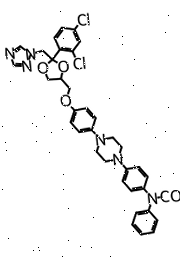 O=C(O)N(c1ccccc1)c1ccc(N2CCN(c3ccc(OCC4COC(Cn5cncn5)(c5ccc(Cl)cc5Cl)O4)cc3)CC2)cc1